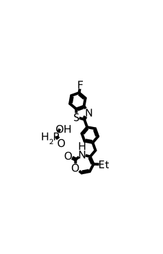 CCC1=C(Cc2ccc(-c3nc4cc(F)ccc4s3)cc2)NC(=O)OC=C1.O=[PH2]O